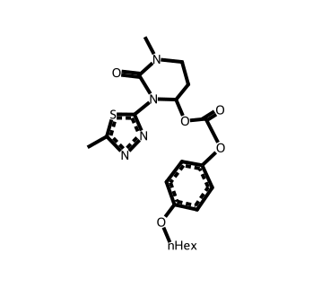 CCCCCCOc1ccc(OC(=O)OC2CCN(C)C(=O)N2c2nnc(C)s2)cc1